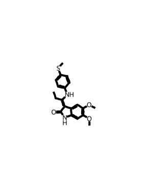 CCC(Nc1ccc(SC)cc1)=C1C(=O)Nc2cc(OC)c(OC)cc21